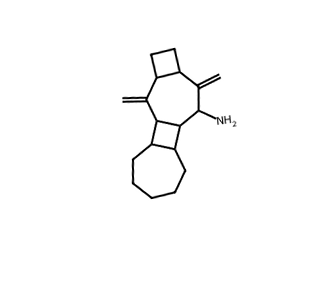 C=C1C(N)C2C3CCCCCC3C2C(=C)C2CCC12